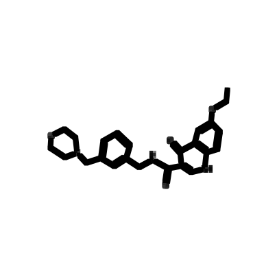 CCOc1ccc2[nH]cc(C(=O)NCc3cccc(CN4CCOCC4)c3)c(=O)c2c1